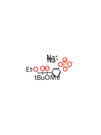 CCOCC1(C(C)(C)C)OOC1(OC)c1cccc(OP(=O)([O-])[O-])c1.[Na+].[Na+]